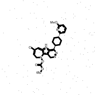 COc1cccc([C@H]2CC[C@H](C3=c4[nH]c5c(c4CN=N3)N(OC(=O)OC(C)(C)C)CC=C(Cl)C=5)CC2)n1